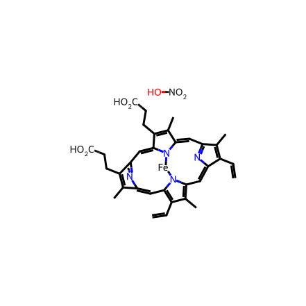 C=CC1=C(C)C2=NC/1=C\c1c(C)c(C=C)c3[n]1[Fe][n]1/c(c(C)c(CCC(=O)O)/c1=C/C1=NC(=C\3)/C(C)=C1CCC(=O)O)=C\2.O=[N+]([O-])O